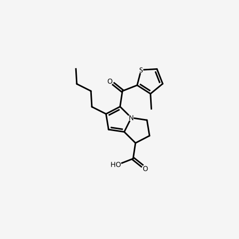 CCCCc1cc2n(c1C(=O)c1sccc1C)CCC2C(=O)O